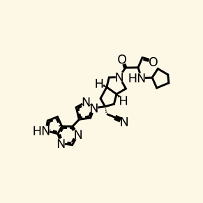 N#CC[C@@]1(n2cc(-c3ncnc4[nH]ccc34)cn2)C[C@H]2CN(C(=O)C(C=O)NC3CCCC3)C[C@H]2C1